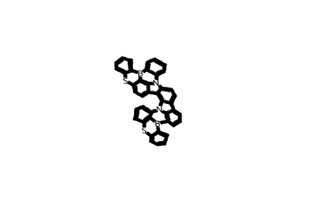 c1ccc2c(c1)Sc1ccc3c4c(ccc5c6cccc7c6n(c54)-c4cccc5c4B7c4ccccc4S5)n4c3c1B2c1ccccc1-4